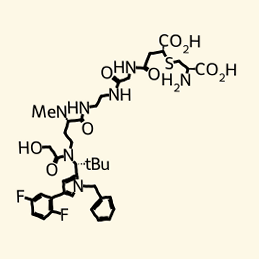 CN[C@@H](CCN(C(=O)CO)[C@@H](c1cc(-c2cc(F)ccc2F)cn1Cc1ccccc1)C(C)(C)C)C(=O)NCCNC(=O)CNC(=O)C[C@@H](SC[C@H](N)C(=O)O)C(=O)O